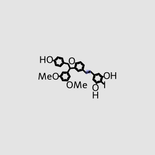 COc1cc(OC)cc(C2c3cc(/C=C/c4cc(O)c(I)c(O)c4)ccc3OC2c2ccc(O)cc2)c1